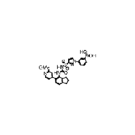 COc1cc(-c2ccc3c(c2NC(=O)NS(=O)(=O)c2ccn(-c4cccc(B(O)O)c4)n2)CCC3)ccn1